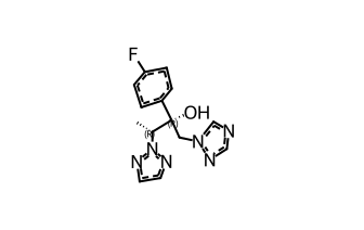 C[C@@H](n1nccn1)[C@](O)(Cn1cncn1)c1ccc(F)cc1